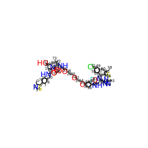 Cc1ncsc1-c1ccc(CNC(=O)[C@@H]2C[C@@H](O)CN2C(=O)[C@@H](NC(O)COCCCOCCCOc2ccc(NC(=O)C[C@@H]3N=C(c4ccc(Cl)cc4)c4c(sc(C)c4C)-n4c(C)nnc43)c(F)c2)C(C)(C)C)cc1